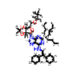 CCC[CH2][Sn]([CH2]CCC)([CH2]CCC)[c]1nc(NCC(c2ccccc2)c2ccccc2)c2ncn([C@@H]3O[C@H](CO[Si](C)(C)C(C)(C)C)[C@H]4OC(C)(C)O[C@H]43)c2n1